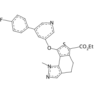 CCOC(=O)c1sc(Oc2cncc(-c3ccc(F)cc3)c2)c2c1CCc1cnn(C)c1-2